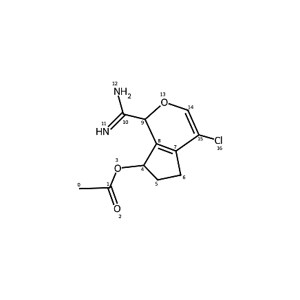 CC(=O)OC1CCC2=C1C(C(=N)N)OC=C2Cl